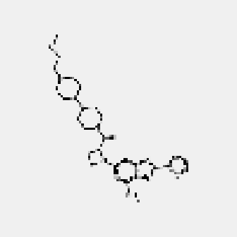 COCCN1CCC(C2CCN(C(=O)[C@@H]3CCN3c3cc4nc(-c5ccco5)nn4c(N)n3)CC2)CC1